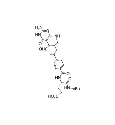 CCCCNC(=O)[C@H](CCC(=O)O)NC(=O)c1ccc(NCC2CNc3nc(N)[nH]c(=O)c3N2C=O)cc1